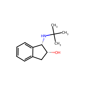 CC(C)(C)N[C@H]1c2ccccc2C[C@H]1O